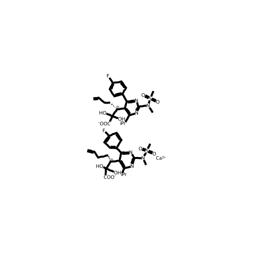 C=CCC[C@H](c1c(-c2ccc(F)cc2)nc(N(C)S(C)(=O)=O)nc1C(C)C)C(O)(O)C(=O)[O-].C=CCC[C@H](c1c(-c2ccc(F)cc2)nc(N(C)S(C)(=O)=O)nc1C(C)C)C(O)(O)C(=O)[O-].[Ca+2]